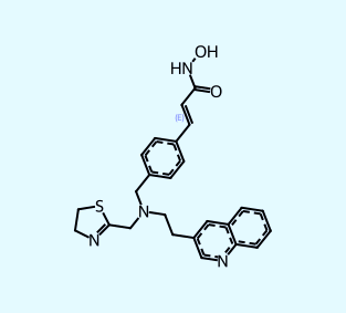 O=C(/C=C/c1ccc(CN(CCc2cnc3ccccc3c2)CC2=NCCS2)cc1)NO